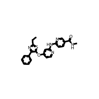 CCc1nc(-c2ccccc2)c(Oc2ccnc(Nc3ccc(C(=O)NC)cn3)c2)s1